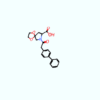 O=C(O)C1CC2(CN1C(=O)Cc1ccc(-c3ccccc3)cc1)OCCO2